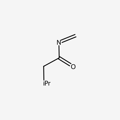 C=NC(=O)CC(C)C